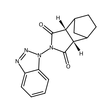 O=C1[C@@H]2C3CCC(C3)[C@@H]2C(=O)N1n1nnc2ccccc21